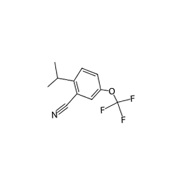 CC(C)c1ccc(OC(F)(F)F)cc1C#N